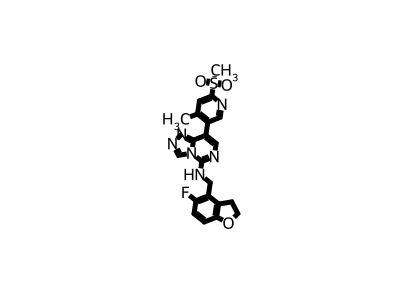 Cc1cc(S(C)(=O)=O)ncc1-c1cnc(NCc2c(F)ccc3c2CCO3)n2cnnc12